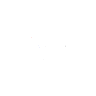 Cc1cc(NC(O)=S)c(C)o1